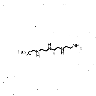 NCCNCCNCCNCC(=O)O.[Ti]